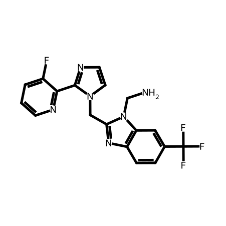 NCn1c(Cn2ccnc2-c2ncccc2F)nc2ccc(C(F)(F)F)cc21